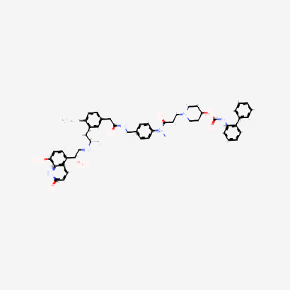 COc1ccc(CC(=O)NCc2ccc(N(C)C(=O)CCN3CCC(OC(=O)Nc4ccccc4-c4ccccc4)CC3)cc2)cc1C[C@@H](C)NC[C@H](O)c1ccc(O)c2[nH]c(=O)ccc12